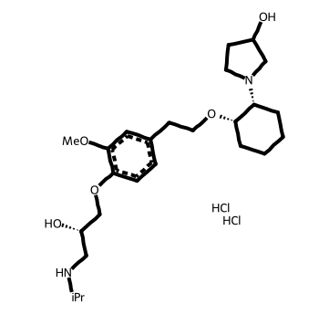 COc1cc(CCO[C@H]2CCCC[C@H]2N2CCC(O)C2)ccc1OC[C@@H](O)CNC(C)C.Cl.Cl